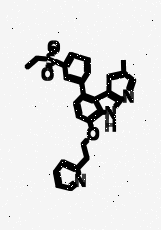 CCS(=O)(=O)c1cccc(-c2ccc(OCCc3ccccn3)c3[nH]c4ncc(C)cc4c23)c1